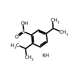 CC(C)c1ccc(C(C)C)c(S(=O)O)c1.[KH]